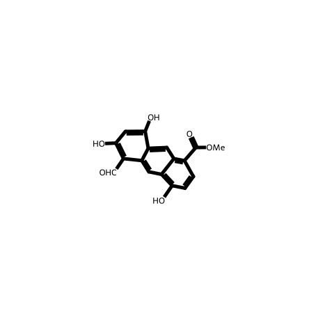 COC(=O)c1ccc(O)c2cc3c(C=O)c(O)cc(O)c3cc12